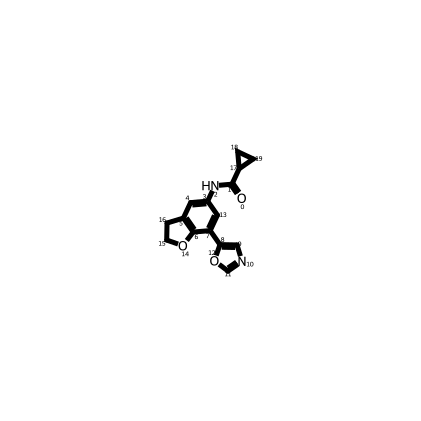 O=C(Nc1cc2c(c(-c3cnco3)c1)OCC2)C1CC1